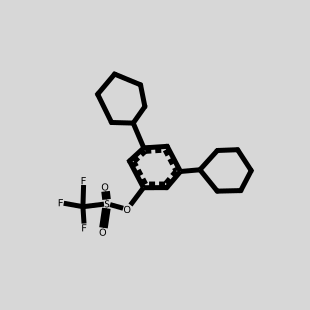 O=S(=O)(Oc1cc(C2CCCCC2)cc(C2CCCCC2)c1)C(F)(F)F